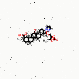 Cc1oc(=O)oc1COC(=O)[C@@]1(C)C2CC[C@]3(C)[C@H](C(=O)C=C4[C@@H]5C[C@@](C)(C(=O)O)CC[C@]5(C)CC[C@]43C)[C@@]2(C)CC[C@@H]1n1cccn1